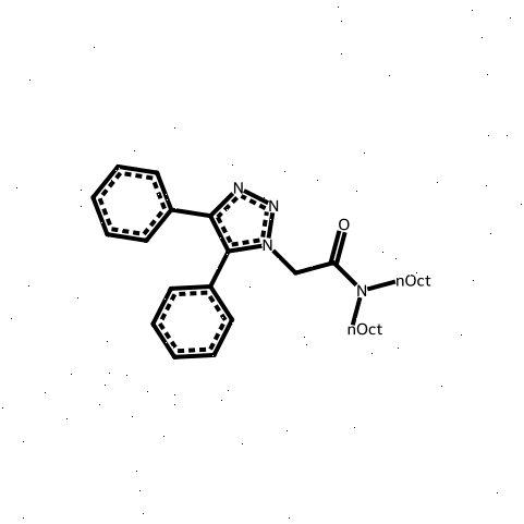 CCCCCCCCN(CCCCCCCC)C(=O)Cn1nnc(-c2ccccc2)c1-c1ccccc1